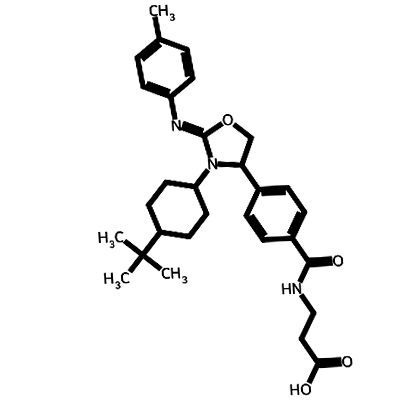 Cc1ccc(N=C2OCC(c3ccc(C(=O)NCCC(=O)O)cc3)N2C2CCC(C(C)(C)C)CC2)cc1